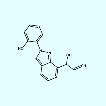 C=CC(O)c1cccc2nn(-c3ccccc3O)nc12